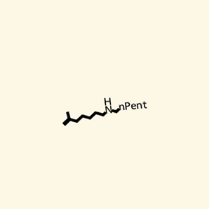 C=C(C)CCCCCNCCCCCC